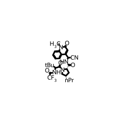 CCC[C@H]1C[C@@H](C(=O)NC(C#N)c2cc(=O)n(C)c3ccccc23)N(C(=O)C(NC(=O)C(F)(F)F)C(C)(C)C)C1